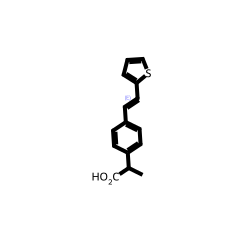 CC(C(=O)O)c1ccc(/C=C/c2cccs2)cc1